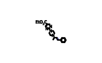 CCOC(=O)c1cnc(N2CCN(C(C)/C=C/c3ccccc3)CC2)nc1